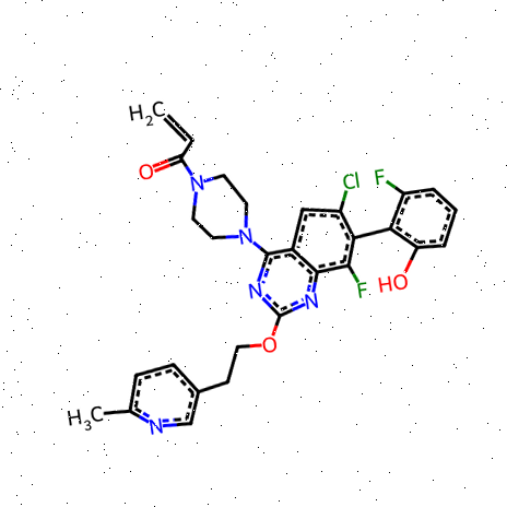 C=CC(=O)N1CCN(c2nc(OCCc3ccc(C)nc3)nc3c(F)c(-c4c(O)cccc4F)c(Cl)cc23)CC1